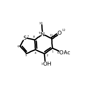 CC(=O)Oc1c(O)c2ccsc2n(C)c1=O